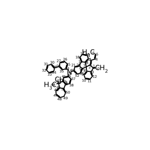 C=C1/C(=C\C=C/C)C2(c3ccccc31)c1ccccc1-c1cc(N(c3cccc(-c4ccccc4)c3)c3ccc4c(c3)C(C)(C)C3=CC=CCC=C34)ccc12